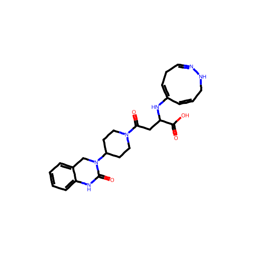 O=C(O)C(CC(=O)N1CCC(N2Cc3ccccc3NC2=O)CC1)NC1=C/C/C=N\NC/C=C\1